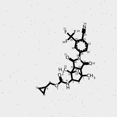 CC12CC(NC(=O)OCC3CC3)C(C)(O1)C1C(=O)N(c3ccc(C#N)c(C(F)(F)F)c3)C(=O)C12